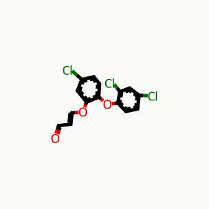 O=C/C=C/Oc1cc(Cl)ccc1Oc1ccc(Cl)cc1Cl